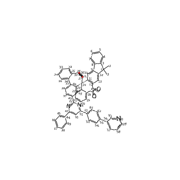 CC1(C)c2ccccc2-c2cc3c(cc21)S(=O)(=O)c1ccccc1C31c2ccccc2-c2ccccc2-c2ccc(-c3nc(-c4ccccc4)cc(-c4ccc(-c5cccnc5)cc4)n3)cc21